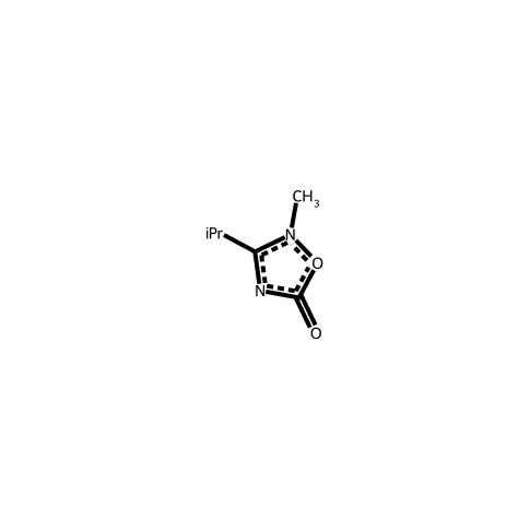 CC(C)c1nc(=O)on1C